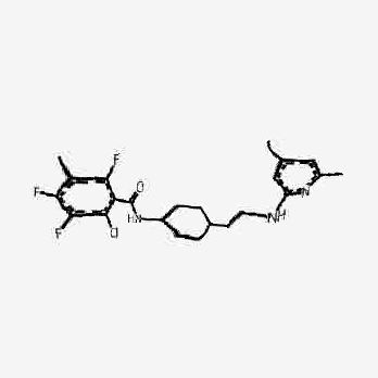 Cc1cc(C)nc(NCCC2CCC(NC(=O)c3c(F)c(C)c(F)c(F)c3Cl)CC2)c1